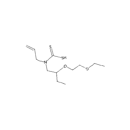 C=CCN(CC(CC)OCCOCC)C(=S)S